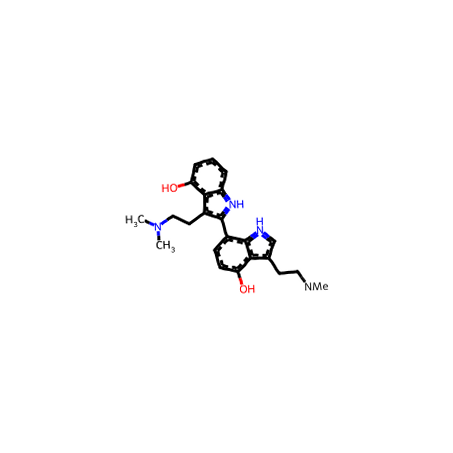 CNCCc1c[nH]c2c(-c3[nH]c4cccc(O)c4c3CCN(C)C)ccc(O)c12